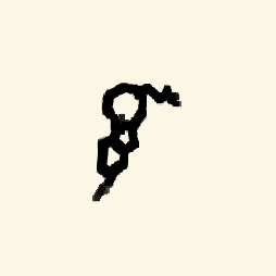 CC(=O)CCN1CCCN2c3ccc(F)cc3CC2C1